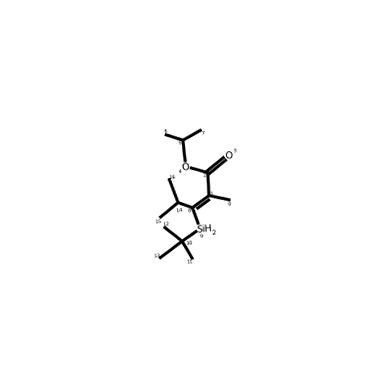 CC(C(=O)OC(C)C)=C([SiH2]C(C)(C)C)C(C)C